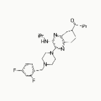 CC(C)Nc1nc2c(nc1N1CCN(Cc3ccc(F)cc3F)CC1)CCC(C(=O)C(C)C)C2